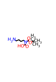 CC(C)(C)OC(=O)N(CCCCN)C(=O)O